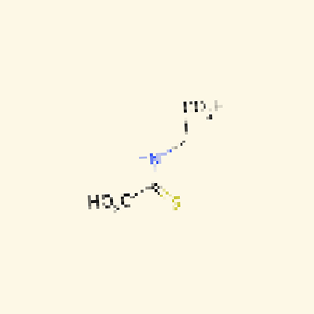 O=C(O)CNC(=S)C(=O)O